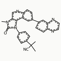 Cn1c(=O)n(-c2ccc(C(C)(C)C#N)cc2)c2c3cc(-c4ccc5nccnc5c4)ccc3ncc21